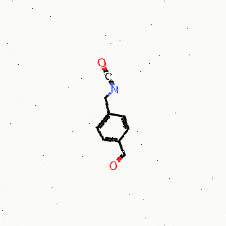 O=C=NCc1ccc(C=O)cc1